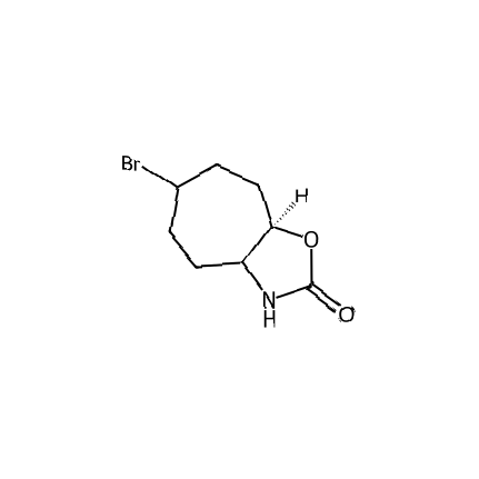 O=C1NC2CCC(Br)CC[C@H]2O1